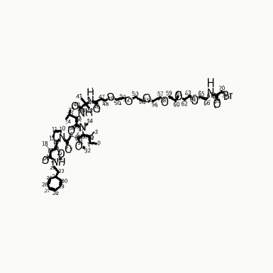 CC[C@H](C)[C@@H]([C@@H](CC(=O)N1CCC[C@H]1[C@H](OC)[C@@H](C)C(=O)NCCC1C=CC=CC=C1)OC)N(C)C(=O)[C@@H](NC(=O)C(C)(C)NC(=O)CCOCCOCCOCCOCCOCCOCCNC(=O)CBr)C(C)C